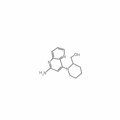 Nc1cc(N2CCCCC2CO)c2ncccc2n1